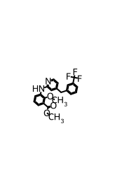 COC(=O)c1cccc(Nc2cc(Cc3cccc(C(F)(F)F)c3)ccn2)c1OC